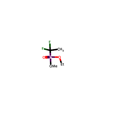 CCOP(=O)(OC)C(C)(F)F